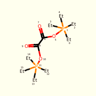 CCP(CC)(CC)(CC)OC(=O)C(=O)OP(CC)(CC)(CC)CC